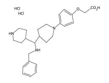 Cl.Cl.O=C(O)COc1ccc(N2CCC(C(NCc3ccccc3)C3CCNCC3)CC2)cc1